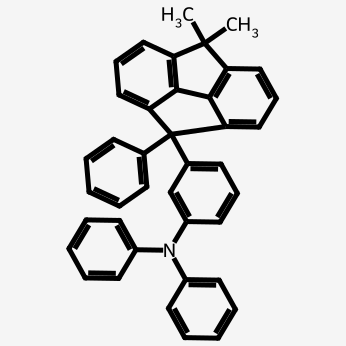 CC1(C)c2cccc3c2-c2c1cccc2C3(c1ccccc1)c1cccc(N(c2ccccc2)c2ccccc2)c1